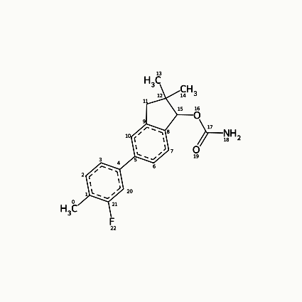 Cc1ccc(-c2ccc3c(c2)CC(C)(C)C3OC(N)=O)cc1F